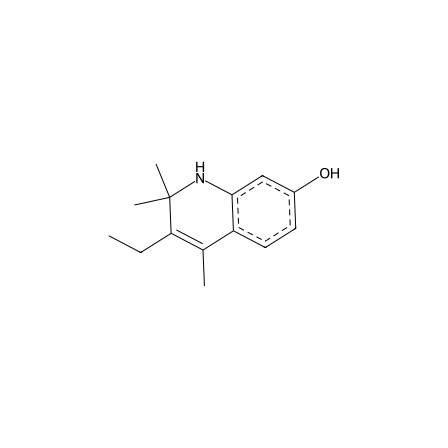 CCC1=C(C)c2ccc(O)cc2NC1(C)C